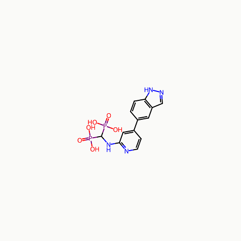 O=P(O)(O)C(Nc1cc(-c2ccc3[nH]ncc3c2)ccn1)P(=O)(O)O